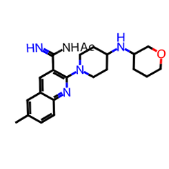 CC(=O)NC(=N)c1cc2cc(C)ccc2nc1N1CCC(NC2CCCOC2)CC1